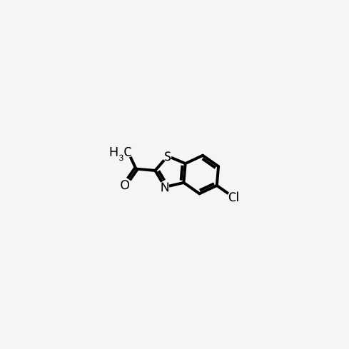 CC(=O)c1nc2cc(Cl)ccc2s1